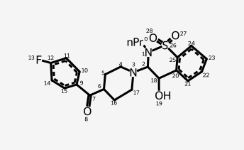 CCCN1C(N2CCC(C(=O)c3ccc(F)cc3)CC2)C(O)c2ccccc2S1(=O)=O